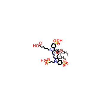 COCCC1(C)C(/C=C/C=C2/N(CCCS(=O)(=O)O)c3ccc(S(=O)(=O)[O-])cc3C2(C)CCOC)=[N+](CCCCCC(=O)O)c2ccc(S(=O)(=O)O)cc21